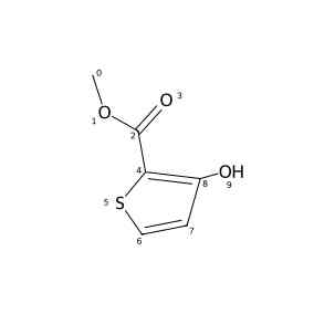 COC(=O)c1sccc1O